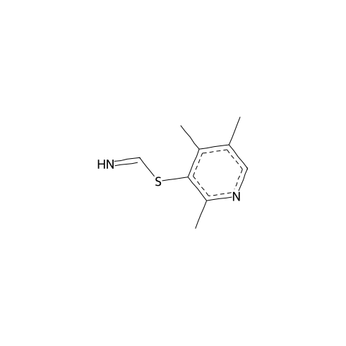 Cc1cnc(C)c(SC=N)c1C